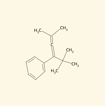 CC(C)=C=C(c1ccccc1)C(C)(C)C